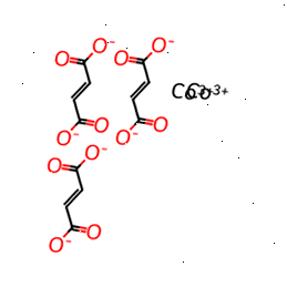 O=C([O-])/C=C/C(=O)[O-].O=C([O-])/C=C/C(=O)[O-].O=C([O-])/C=C/C(=O)[O-].[Co+3].[Co+3]